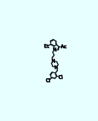 CCc1cccc2c(C(C)=O)cn(CCCN3CCN(Cc4ccc(Cl)cc4Cl)CC3)c12